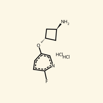 Cl.Cl.N[C@H]1C[C@H](Oc2ccc(F)nc2)C1